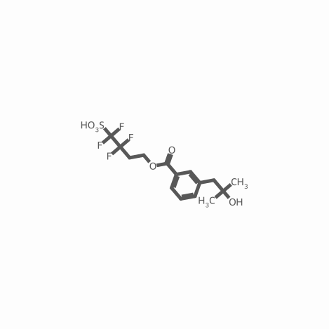 CC(C)(O)Cc1cccc(C(=O)OCCC(F)(F)C(F)(F)S(=O)(=O)O)c1